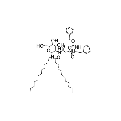 CCCCCCCCCCCCN(C(=O)CCCCCCCCCCC)[C@@H]1O[C@H](CO)[C@@H](O)[C@H](O)[C@H]1NC(=O)CNC(=O)[C@H](Cc1ccccc1)NC(=O)OCc1ccccc1